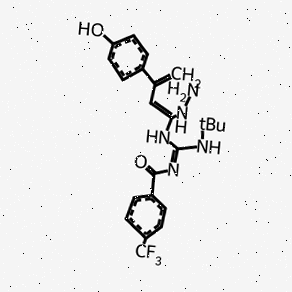 C=C(/C=C(\NN)N/C(=N\C(=O)c1ccc(C(F)(F)F)cc1)NC(C)(C)C)c1ccc(O)cc1